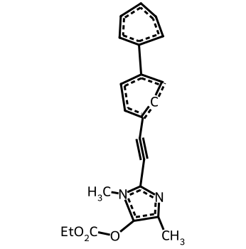 CCOC(=O)Oc1c(C)nc(C#Cc2ccc(-c3ccccc3)cc2)n1C